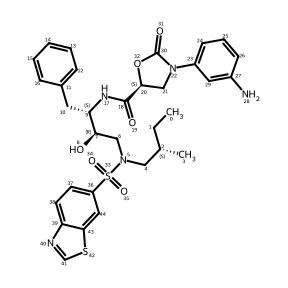 CC[C@H](C)CN(C[C@@H](O)[C@H](Cc1ccccc1)NC(=O)[C@@H]1CN(c2cccc(N)c2)C(=O)O1)S(=O)(=O)c1ccc2ncsc2c1